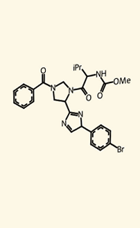 COC(=O)NC(C(=O)N1CN(C(=O)c2ccccc2)CC1C1=NC(c2ccc(Br)cc2)C=N1)C(C)C